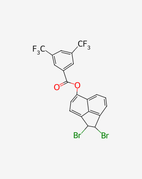 O=C(Oc1ccc2c3c(cccc13)C(Br)C2Br)c1cc(C(F)(F)F)cc(C(F)(F)F)c1